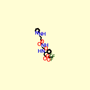 O=C(CNC(=O)OCCCNc1ccccn1)NC(CC(=O)OC(=O)C(F)(F)F)c1ccccc1